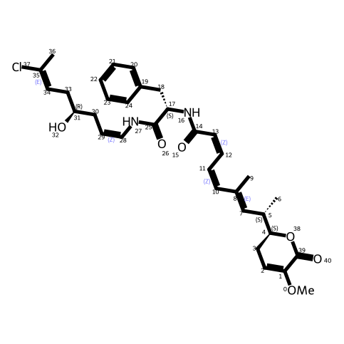 COC1=CC[C@@H]([C@@H](C)/C=C(C)/C=C\C=C/C(=O)N[C@@H](Cc2ccccc2)C(=O)N/C=C\C[C@@H](O)C/C=C(\C)Cl)OC1=O